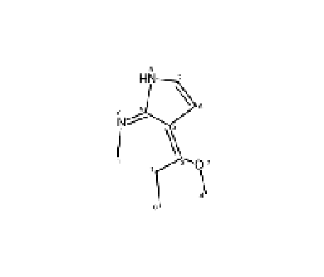 CC/C(OC)=C1/C=CN/C1=N/I